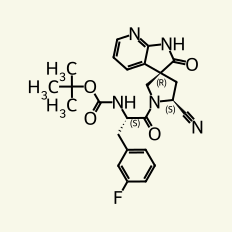 CC(C)(C)OC(=O)N[C@@H](Cc1cccc(F)c1)C(=O)N1C[C@]2(C[C@H]1C#N)C(=O)Nc1ncccc12